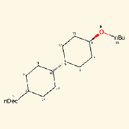 CCCCCCCCCCC1CCC([C@H]2CC[C@H](OCCCC)CC2)CC1